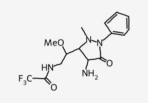 COC(CNC(=O)C(F)(F)F)C1C(N)C(=O)N(c2ccccc2)N1C